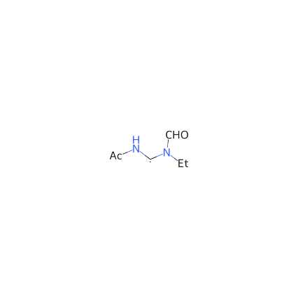 CCN([CH]NC(C)=O)C=O